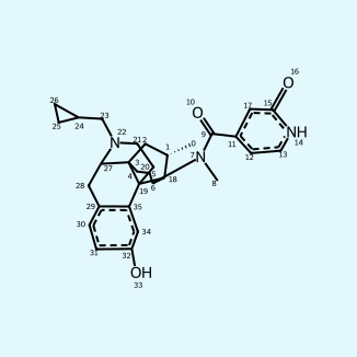 C[C@H]1CC23CCC(N(C)C(=O)c4cc[nH]c(=O)c4)C1C21CCN(CC2CC2)C3Cc2ccc(O)cc21